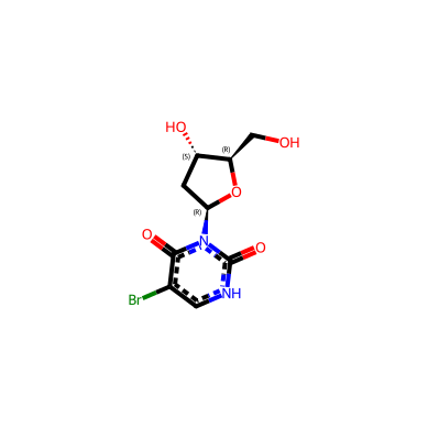 O=c1[nH]cc(Br)c(=O)n1[C@H]1C[C@H](O)[C@@H](CO)O1